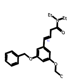 CCN(CC)C(=O)C/C=C/c1cc(OCC(=O)O)cc(OCc2ccccc2)c1